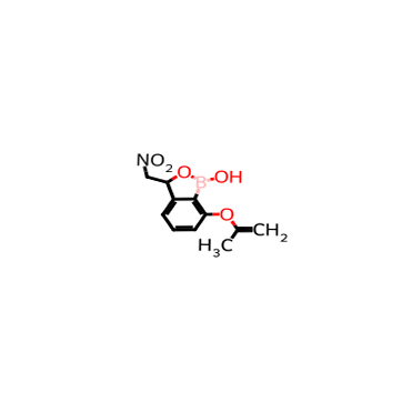 C=C(C)Oc1cccc2c1B(O)OC2C[N+](=O)[O-]